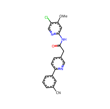 COc1cc(NC(=O)Cc2ccc(-c3cccc(C#N)c3)nc2)ncc1Cl